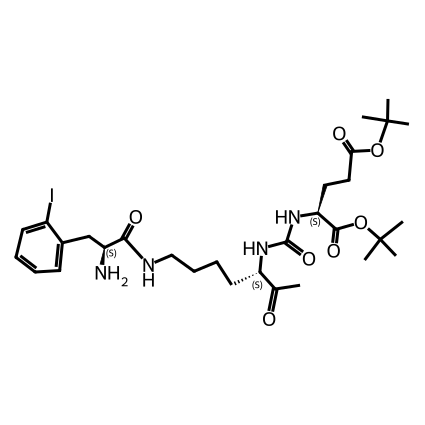 CC(=O)[C@H](CCCCNC(=O)[C@@H](N)Cc1ccccc1I)NC(=O)N[C@@H](CCC(=O)OC(C)(C)C)C(=O)OC(C)(C)C